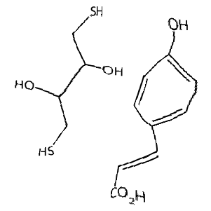 O=C(O)C=Cc1ccc(O)cc1.OC(CS)C(O)CS